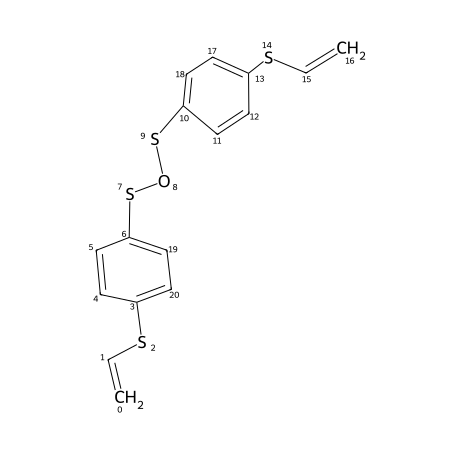 C=CSc1ccc(SOSc2ccc(SC=C)cc2)cc1